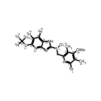 [2H]c1nc(C[S+]([O-])c2nc3nc(OC([2H])([2H])[2H])c([2H])c([2H])c3[nH]2)c(C)c(OC)c1C